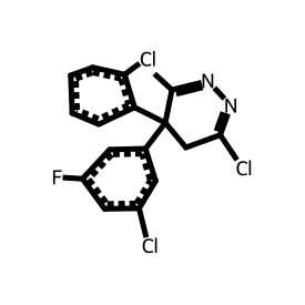 CC1=NN=C(Cl)CC1(c1cc(F)cc(Cl)c1)c1ccccc1Cl